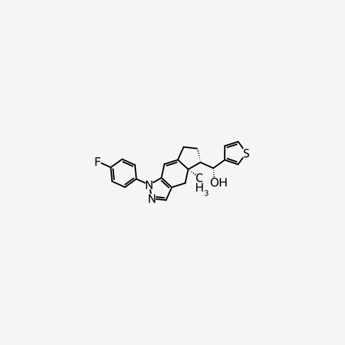 C[C@]12Cc3cnn(-c4ccc(F)cc4)c3C=C1CC[C@@H]2[C@@H](O)c1ccsc1